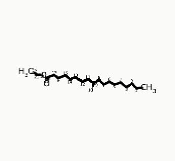 CCCCCCCCCC(I)CCCCCCCC(=O)OCC